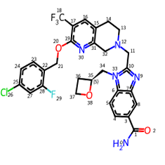 NC(=O)c1ccc2c(c1)nc(CN1CCc3cc(C(F)(F)F)c(OCc4ccc(Cl)cc4F)nc3C1)n2C[C@@H]1CCO1